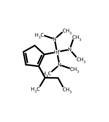 CCC(C)C1=[C]([Hf]([N](C)C)([N](C)C)[N](C)C)CC=C1